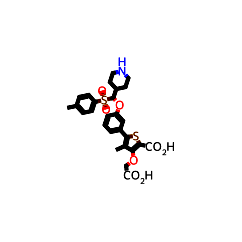 Cc1ccc(S(=O)(=O)C(Oc2cccc(-c3sc(C(=O)O)c(OCC(=O)O)c3C)c2)C2CCNCC2)cc1